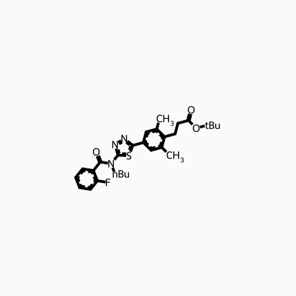 CCCCN(C(=O)c1ccccc1F)c1nnc(-c2cc(C)c(CCC(=O)OC(C)(C)C)c(C)c2)s1